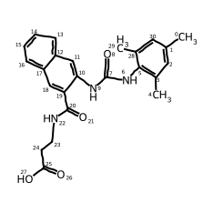 Cc1cc(C)c(NC(=O)Nc2cc3ccccc3cc2C(=O)NCCC(=O)O)c(C)c1